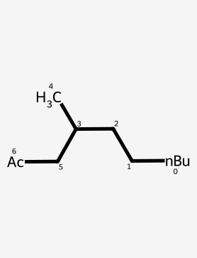 CCCCCCC(C)CC(C)=O